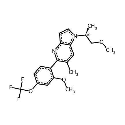 COC[C@H](C)n1ccc2nc(-c3ccc(OC(F)(F)F)cc3OC)c(C)cc21